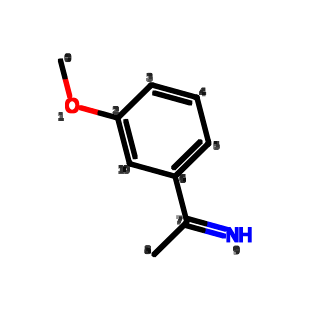 COc1cccc(C(C)=N)c1